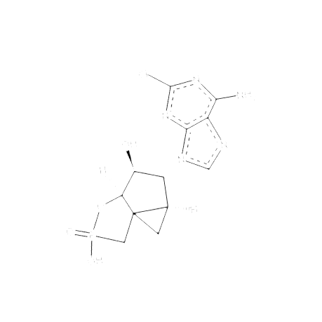 Nc1nc(Cl)nc2c1ncn2[C@H]1[C@H](O)[C@@H]2OP(=O)(O)CC23C[C@H]13